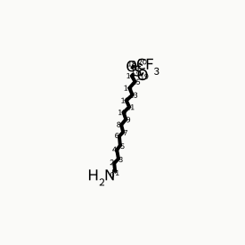 NCCCCCCCCCCCCCCCCS(=O)(=O)C(F)(F)F